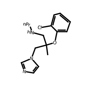 CCCNCC(C)(Cn1ccnc1)Oc1ccccc1Cl